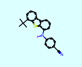 CC(C)(C)c1cccc2c1sc1c(N(I)c3ccc(C#N)cc3)cccc12